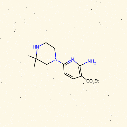 CCOC(=O)c1ccc(N2CCNC(C)(C)C2)nc1N